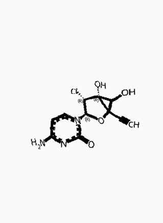 C#CC12O[C@@H](n3ccc(N)nc3=O)[C@H](Cl)[C@@]1(O)C2O